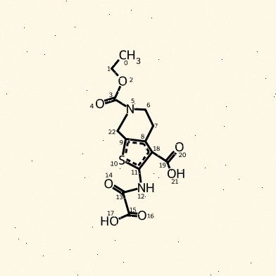 CCOC(=O)N1CCc2c(sc(NC(=O)C(=O)O)c2C(=O)O)C1